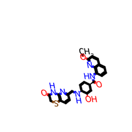 COc1ccc2cccc(NC(=O)[C@@H]3CC[C@@H](NCc4ccc5c(n4)NC(=O)CS5)[C@H](O)C3)c2n1